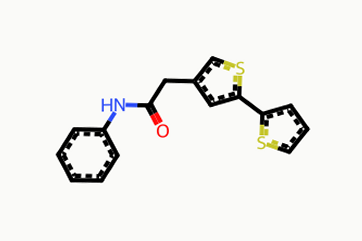 O=C(Cc1csc(-c2cccs2)c1)Nc1ccccc1